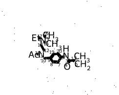 C=C(C)C(=O)Nc1ccc(CN(CC[N+](C)(C)CC)C(C)=O)cc1